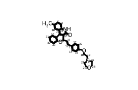 Cc1ccc2[nH]c(=O)c(C(=O)/C=C/c3ccc(OCCN4CCOCC4)cc3)c(-c3ccccc3)c2c1